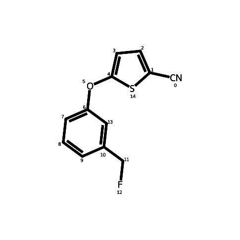 N#Cc1ccc(Oc2cccc(CF)c2)s1